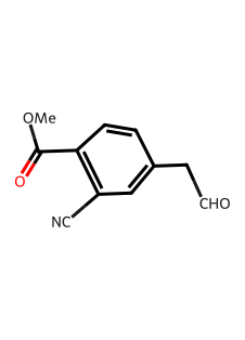 COC(=O)c1ccc(CC=O)cc1C#N